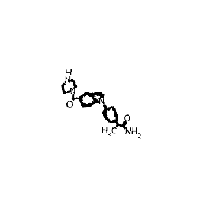 CC(C(N)=O)c1ccc(-n2ccc3cc(C(=O)N4CCNCC4)ccc32)cc1